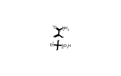 C=C(C)C(N)=O.CCC(C)(C)S(=O)(=O)O